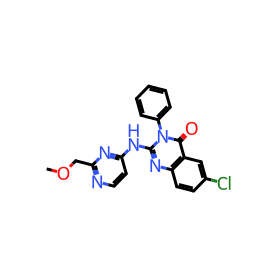 COCc1nccc(Nc2nc3ccc(Cl)cc3c(=O)n2-c2ccccc2)n1